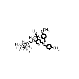 C=CC(C)(C)c1cc(N(Cc2ccc(C)cc2)Cc2ccc(OC)cc2)ncc1OCCOC[SiH](C)C(C)(C)C